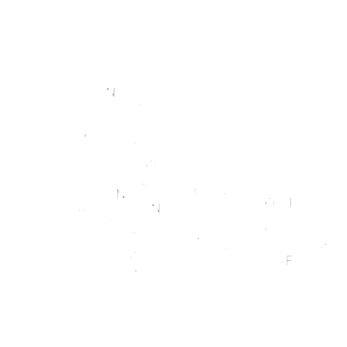 COc1cccc2nccc(CN3C(=O)N(c4ccc(S(=O)(=O)C(F)(F)F)cc4)C(=O)C3(C)C)c12